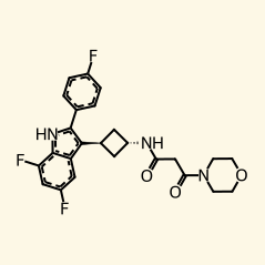 O=C(CC(=O)N1CCOCC1)N[C@H]1C[C@H](c2c(-c3ccc(F)cc3)[nH]c3c(F)cc(F)cc32)C1